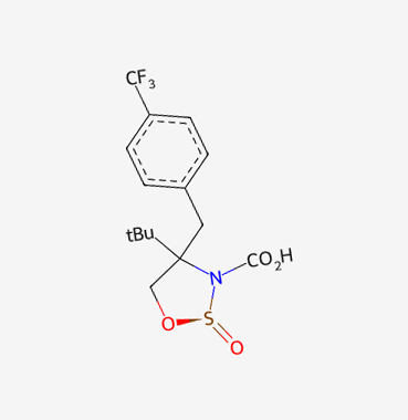 CC(C)(C)C1(Cc2ccc(C(F)(F)F)cc2)CO[S@](=O)N1C(=O)O